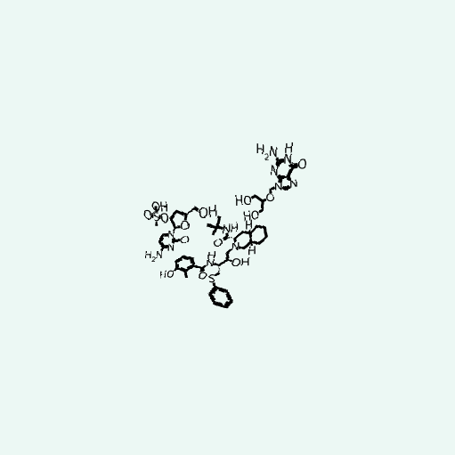 CS(=O)(=O)O.Cc1c(O)cccc1C(=O)N[C@@H](CSc1ccccc1)[C@H](O)CN1C[C@H]2CCCC[C@H]2C[C@H]1C(=O)NC(C)(C)C.Nc1ccn([C@H]2CC[C@@H](CO)O2)c(=O)n1.Nc1nc2c(ncn2COC(CO)CO)c(=O)[nH]1